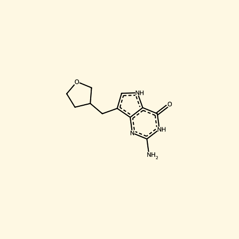 Nc1nc2c(CC3CCOC3)c[nH]c2c(=O)[nH]1